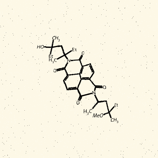 CCC(C)(O)CC(C)(CC)N1C(=O)c2ccc3c4c(ccc(c24)C1=O)C(=O)N(C(C)CC(C)(CC)OC)C3=O